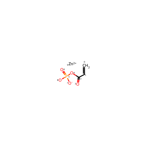 C=CC(=O)OP(=O)([O-])[O-].[Zn+2]